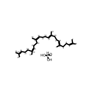 CC(C)=CCCC(C)=CCCC(C)=CCCC=C(C)CCC=C(C)CCC=C(C)C.O=[PH](O)O